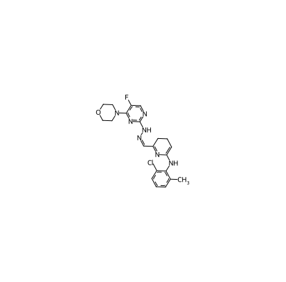 Cc1cccc(Cl)c1NC1=CCCC(/C=N\Nc2ncc(F)c(N3CCOCC3)n2)=N1